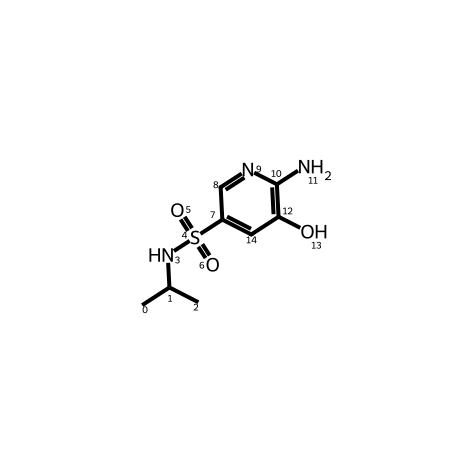 CC(C)NS(=O)(=O)c1cnc(N)c(O)c1